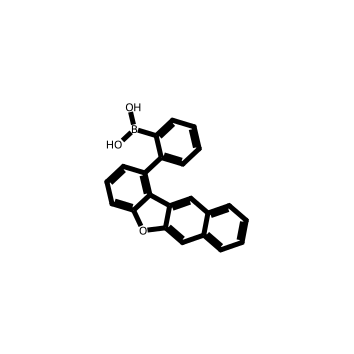 OB(O)c1ccccc1-c1cccc2oc3cc4ccccc4cc3c12